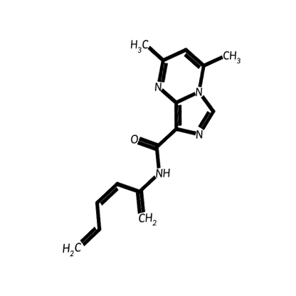 C=C/C=C\C(=C)NC(=O)c1ncn2c(C)cc(C)nc12